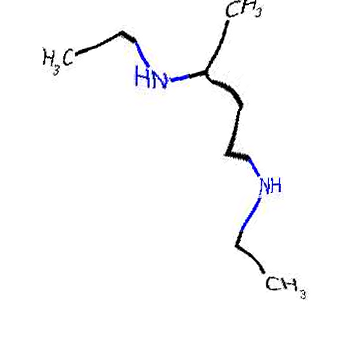 CCNCCC(C)NCC